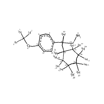 [2H]C([2H])([2H])Oc1ccc(C([2H])(CN)C2([2H])C([2H])([2H])C([2H])([2H])C([2H])([2H])C([2H])([2H])C2([2H])[2H])cc1